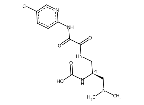 CN(C)C[C@H](CNC(=O)C(=O)Nc1ccc(Cl)cn1)NC(=O)O